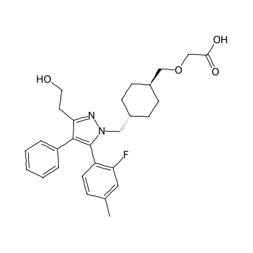 Cc1ccc(-c2c(-c3ccccc3)c(CCO)nn2C[C@H]2CC[C@H](COCC(=O)O)CC2)c(F)c1